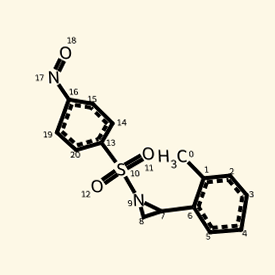 Cc1ccccc1C1CN1S(=O)(=O)c1ccc(N=O)cc1